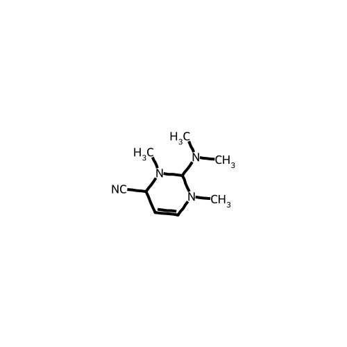 CN(C)C1N(C)C=CC(C#N)N1C